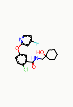 O=C(NCC1(O)CCCCC1)c1cc(Oc2cc(F)ccn2)ccc1Cl